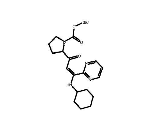 CC(C)(C)OC(=O)N1CCCC1C(=O)/C=C(/NC1CCCCC1)c1ncccn1